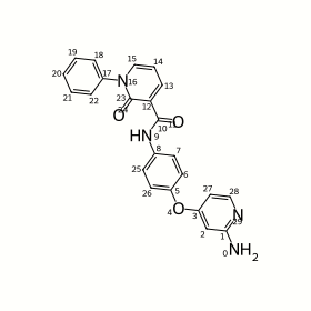 Nc1cc(Oc2ccc(NC(=O)c3cccn(-c4ccccc4)c3=O)cc2)ccn1